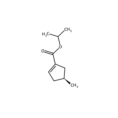 CC(C)OC(=O)C1=CC[C@H](C)C1